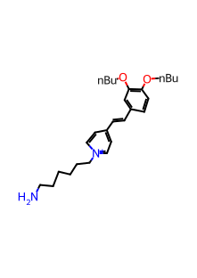 CCCCOc1ccc(/C=C/c2cc[n+](CCCCCCN)cc2)cc1OCCCC